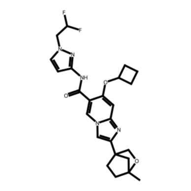 CC12CCC(c3cn4cc(C(=O)Nc5ccn(CC(F)F)n5)c(OC5CCC5)cc4n3)(CO1)C2